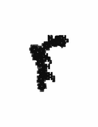 CC1(C)c2ccccc2-c2ccc(Nc3ccc(-c4ccc(-c5cccc6c5C(C)(C)c5cc(Nc7ccc8c(c7)C(C)(C)c7cc(-c9ccccc9)ccc7-8)ccc5-6)c(-c5ccccc5)c4)cc3)cc21